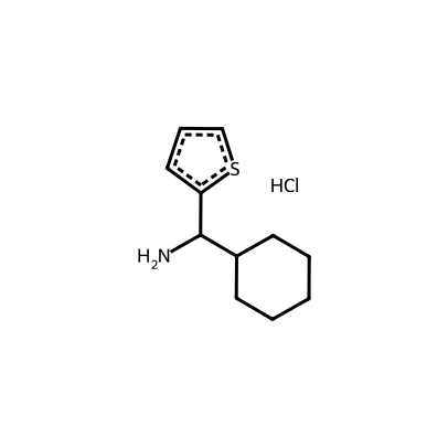 Cl.NC(c1cccs1)C1CCCCC1